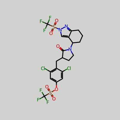 O=C1C(Cc2c(Cl)cc(OS(=O)(=O)C(F)(F)F)cc2Cl)CCN1C1CCCc2nn(S(=O)(=O)C(F)(F)F)cc21